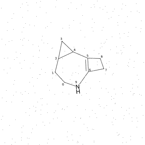 C1CC2CC2C2=C(CC2)N1